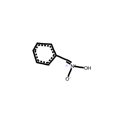 [O-]/[N+](O)=C\c1ccccc1